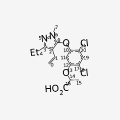 C=Cc1c(CC)nn(C)c1Oc1cc(O[C@@H](C)C(=O)O)c(Cl)cc1Cl